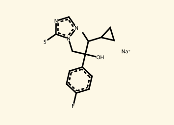 CC(C1CC1)C(O)(Cn1ncnc1[S-])c1ccc(F)cc1.[Na+]